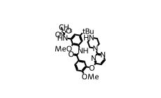 COc1ccc(C(=O)Nc2cc(C(C)(C)C)cc(NS(C)(=O)=O)c2OC)cc1Oc1ccnc(N2CCNCC2)n1